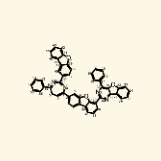 C1=C(c2ccc3c(c2)oc2c(-c4nc(-c5ccccc5)c5oc6ccccc6c5n4)cccc23)N=C(c2ccc3oc4ccccc4c3c2)N=C(c2ccccc2)C1